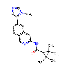 Cn1cncc1-c1ccc2cnc(NC(=O)C3C(C)(C)C3(C)C)cc2c1